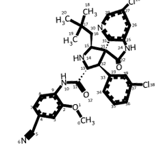 COc1cc(C#N)ccc1NC(=O)[C@@H]1N[C@@H](CC(C)(C)C)[C@@]2(C(=O)Nc3cc(Cl)cnc32)[C@H]1c1cccc(Cl)c1